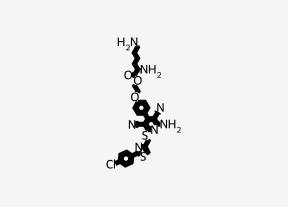 N#Cc1c(N)nc(SCc2csc(-c3ccc(Cl)cc3)n2)c(C#N)c1-c1ccc(OCCOC(=O)[C@@H](N)CCCCN)cc1